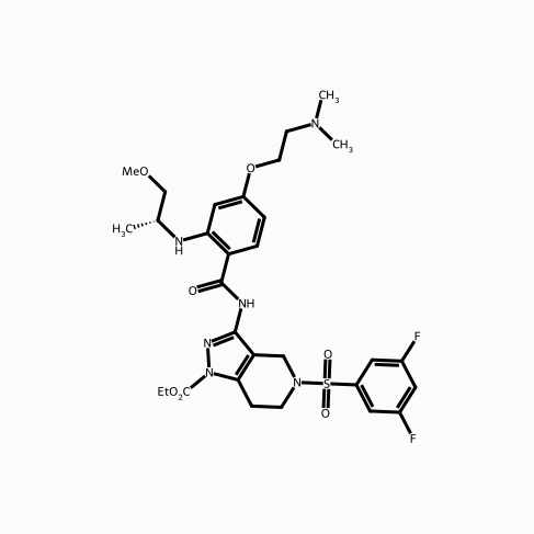 CCOC(=O)n1nc(NC(=O)c2ccc(OCCN(C)C)cc2N[C@H](C)COC)c2c1CCN(S(=O)(=O)c1cc(F)cc(F)c1)C2